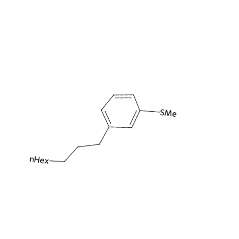 CCCCCCCCCc1cccc(SC)c1